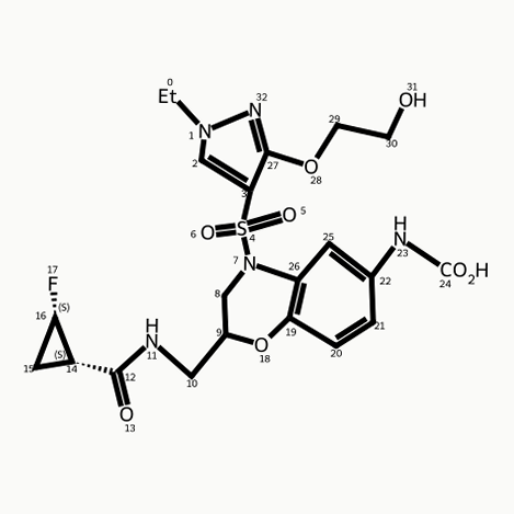 CCn1cc(S(=O)(=O)N2CC(CNC(=O)[C@@H]3C[C@@H]3F)Oc3ccc(NC(=O)O)cc32)c(OCCO)n1